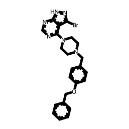 Brc1n[nH]c2ncnc(N3CCN(Cc4ccc(OCc5ccccc5)cc4)CC3)c12